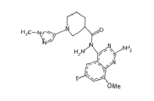 COc1cc(F)cc2c(N(N)C(=O)C3CCCN(c4cnn(C)c4)C3)nc(N)nc12